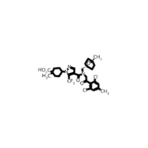 Cc1cc(Cl)c(C(=O)CN(C[C@]23CC[C@@](C)(CC2)O3)C(=O)c2cnn(C3CCC(C)(C(=O)O)CC3)c2C(F)(F)F)c(Cl)c1